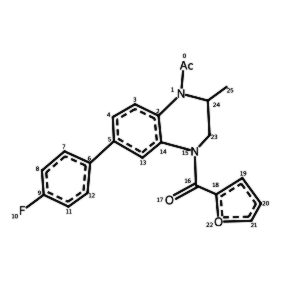 CC(=O)N1c2ccc(-c3ccc(F)cc3)cc2N(C(=O)c2ccco2)CC1C